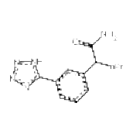 CCCC(C(N)=O)c1cccc(-c2nnn[nH]2)c1